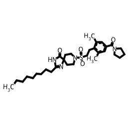 CCCCCCCCCC1=NC2(CCN(S(=O)(=O)CCc3c(C)cc(C(=O)N4CCCC4)cc3C)CC2)C(=O)N1